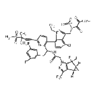 COC(=O)C(=O)N(Cc1nn(CC(F)(F)F)c2c(-c3ccc(C#CC(C)(C)S(C)(=O)=O)nc3C(Cc3cc(F)cc(F)c3)NC(=O)Cn3nc(C(F)(F)F)c4c3C(F)(F)[C@@H]3C[C@H]43)ccc(Cl)c12)[SH](=O)=O